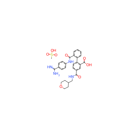 CS(=O)(=O)O.N=C(N)c1ccc(NC(=O)c2ccccc2-c2ccc(C(=O)NCC3CCOCC3)cc2C(=O)O)cc1